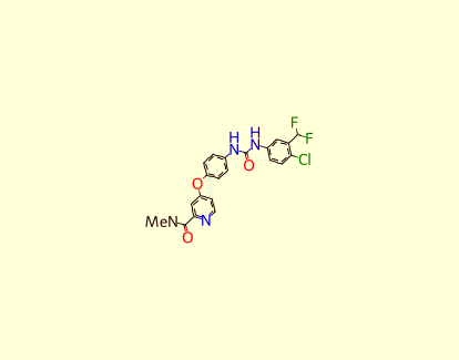 CNC(=O)c1cc(Oc2ccc(NC(=O)Nc3ccc(Cl)c(C(F)F)c3)cc2)ccn1